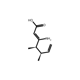 C=C[C@@H](C)[C@@H](C)C(N)=CC(=O)O